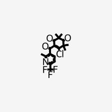 Cc1nc(C(F)(F)F)ccc1C(=O)C1=C(Cl)C(C)(C)C(=O)C(C)(C)C1=O